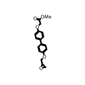 COC(=O)COc1ccc(-c2ccc(OCC3CO3)cc2)cc1